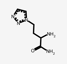 NC(=O)C(N)CCn1ccnn1